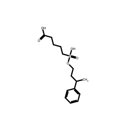 CC(CCOP(=O)(O)CCCCC(=O)O)c1ccccc1